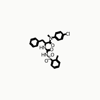 Cc1ccccc1S(=O)(=O)NC(=O)NC(Cc1ccccc1)C(=O)N(C)c1ccc(Cl)cc1